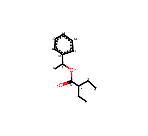 CCC(CC)C(=O)OC(C)c1ccccc1